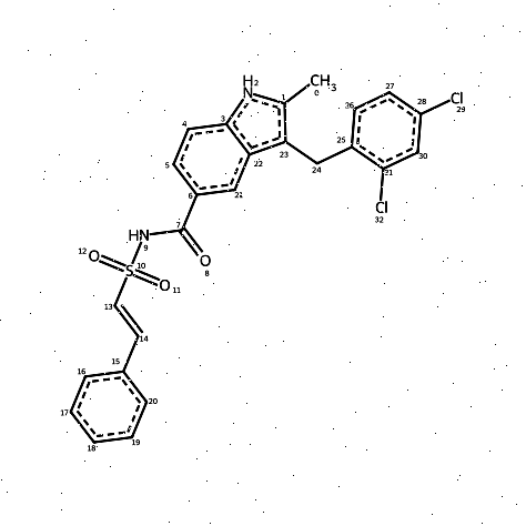 Cc1[nH]c2ccc(C(=O)NS(=O)(=O)C=Cc3ccccc3)cc2c1Cc1ccc(Cl)cc1Cl